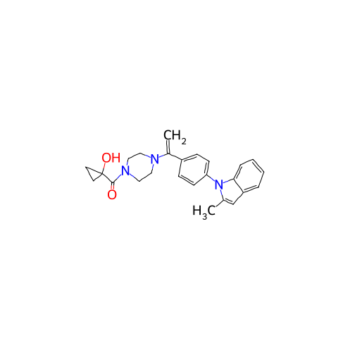 C=C(c1ccc(-n2c(C)cc3ccccc32)cc1)N1CCN(C(=O)C2(O)CC2)CC1